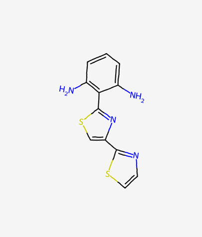 Nc1cccc(N)c1-c1nc(-c2nccs2)cs1